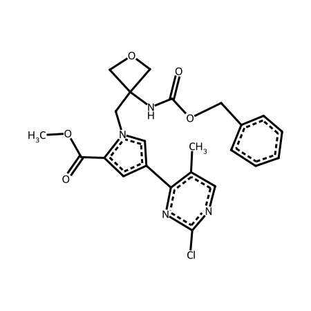 COC(=O)c1cc(-c2nc(Cl)ncc2C)cn1CC1(NC(=O)OCc2ccccc2)COC1